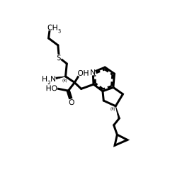 CCCSC[C@H](N)C(O)(Cc1nccc2c1C[C@H](CCC1CC1)C2)C(=O)O